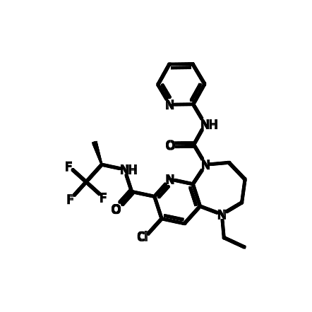 CCN1CCCN(C(=O)Nc2ccccn2)c2nc(C(=O)N[C@H](C)C(F)(F)F)c(Cl)cc21